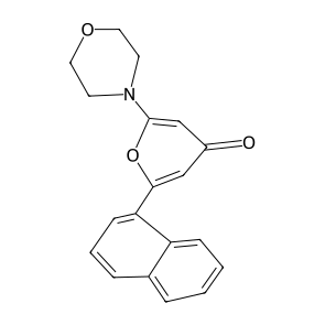 O=c1cc(-c2cccc3ccccc23)oc(N2CCOCC2)c1